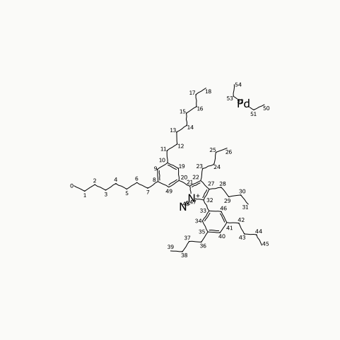 CCCCCCCCc1cc(CCCCCCCC)cc(C2=C(CCCC)C(CCCC)=C(c3cc(CCCC)cc(CCCC)c3)[N+]2=[N-])c1.C[CH2][Pd][CH2]C